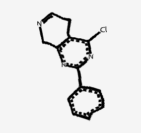 Clc1nc(-c2ccccc2)nc2c1CC=NC2